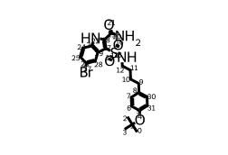 CC(C)(C)Oc1ccc(CCCCNS(=O)(=O)c2c(C(N)=O)[nH]c3ccc(Br)cc23)cc1